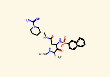 CCCCCN[C@H](C(=O)O)C(=O)C(CC(=O)NC[C@@H]1CCCN(C(=N)N)C1)NS(=O)(=O)c1ccc2ccccc2c1